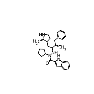 C=C1NCCC1CC(NN(C(=O)c1cc2ccccc2[nH]1)C1CCCC1)C(=C)Cc1ccccc1